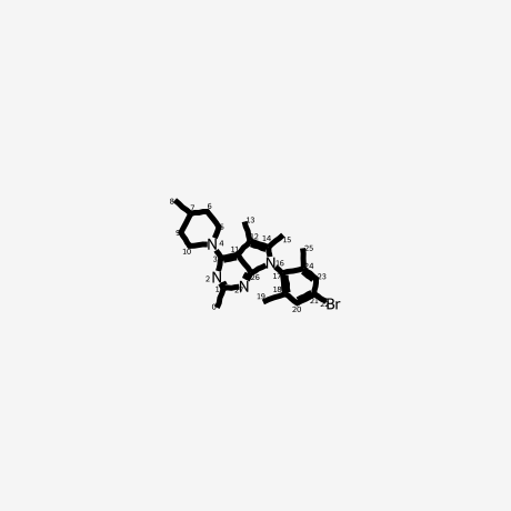 Cc1nc(N2CCC(C)CC2)c2c(C)c(C)n(-c3c(C)cc(Br)cc3C)c2n1